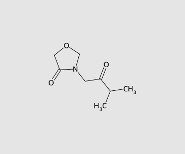 CC(C)C(=O)CN1COCC1=O